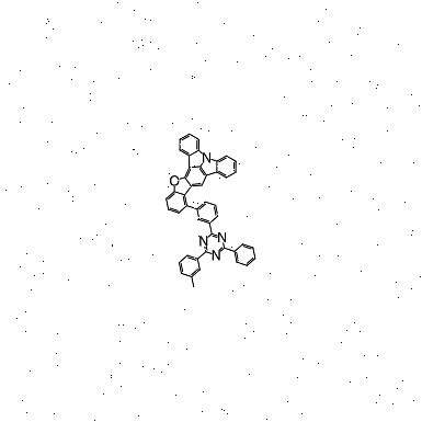 Cc1cccc(-c2nc(-c3ccccc3)nc(-c3cccc(-c4cccc5oc6c(cc7c8ccccc8n8c9ccccc9c6c78)c45)c3)n2)c1